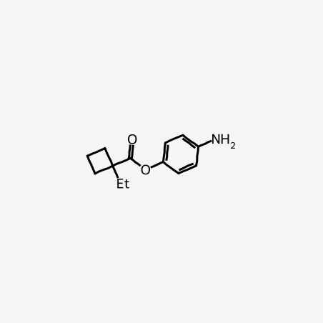 CCC1(C(=O)Oc2ccc(N)cc2)CCC1